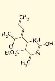 C=C/C=C(\C(=C)Cl)C1NC(O)=NC(=C)C1C(=O)OCC